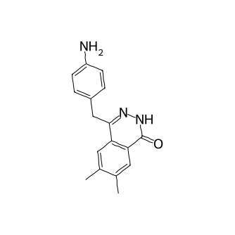 Cc1cc2c(Cc3ccc(N)cc3)n[nH]c(=O)c2cc1C